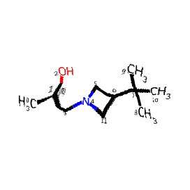 C[C@@H](O)CN1CC(C(C)(C)C)C1